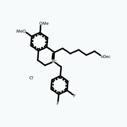 CCCCCCCCCCCCCCCC1=[N+](Cc2ccc(F)c(F)c2)CCc2cc(OC)c(OC)cc21.[Cl-]